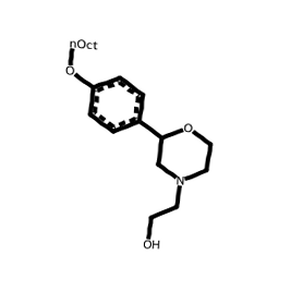 CCCCCCCCOc1ccc(C2CN(CCO)CCO2)cc1